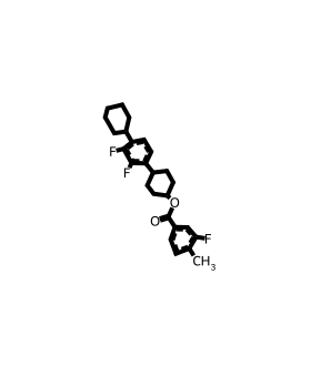 Cc1ccc(C(=O)OC2CCC(c3ccc(C4CCCCC4)c(F)c3F)CC2)cc1F